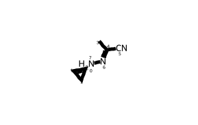 C1=CC1.CC(C#N)=NN